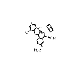 C#Cc1nnc(Cc2c(Cl)cncc2Cl)c2ccc(OC)cc12.c1cc2ccc1-2